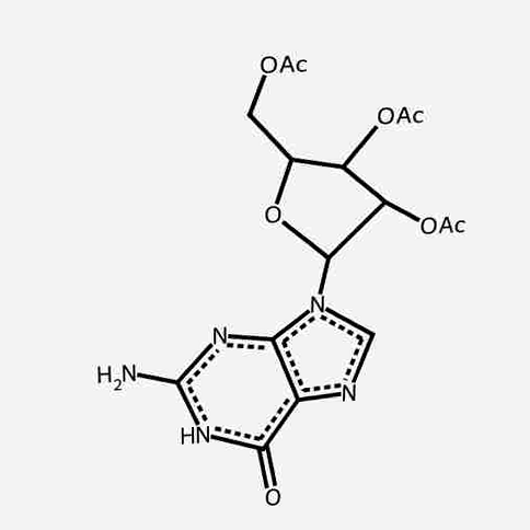 CC(=O)OCC1OC(n2cnc3c(=O)[nH]c(N)nc32)C(OC(C)=O)C1OC(C)=O